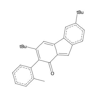 Cc1ccccc1C1=C(C(C)(C)C)C=C2C(=Cc3ccc(C(C)(C)C)cc32)C1=O